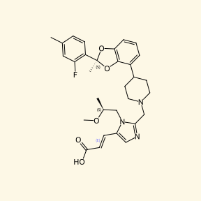 CO[C@@H](C)Cn1c(/C=C/C(=O)O)cnc1CN1CCC(c2cccc3c2O[C@@](C)(c2ccc(C)cc2F)O3)CC1